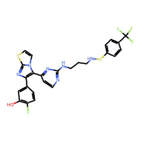 Oc1cc(-c2nc3sccn3c2-c2ccnc(NCCCNSc3ccc(C(F)(F)F)cc3)n2)ccc1F